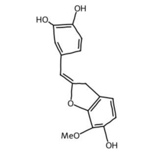 COc1c(O)ccc2c1OC(=Cc1ccc(O)c(O)c1)C2